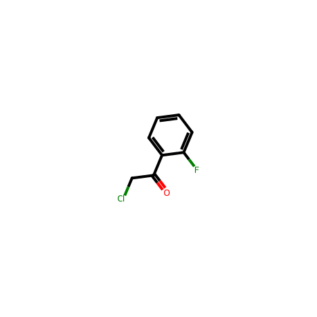 O=C(CCl)c1ccccc1F